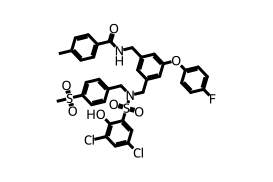 Cc1ccc(C(=O)NCc2cc(CN(Cc3ccc(S(C)(=O)=O)cc3)S(=O)(=O)c3cc(Cl)cc(Cl)c3O)cc(Oc3ccc(F)cc3)c2)cc1